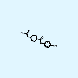 CCCc1ccc(OC(=O)[C@H]2CC[C@H](C=C(F)C#N)CC2)cc1